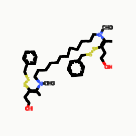 CC(=C(CCO)SSCc1ccccc1)N(C=O)CCCCCCCCCCCCN(C=O)C(C)=C(CCO)SSCc1ccccc1